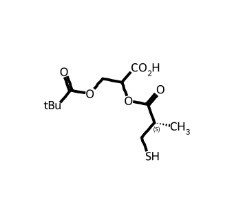 C[C@H](CS)C(=O)OC(COC(=O)C(C)(C)C)C(=O)O